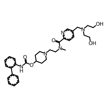 CN(CCN1CCC(OC(=O)Nc2ccccc2-c2ccccc2)CC1)C(=O)c1ccc(CN(CCO)CCO)cn1